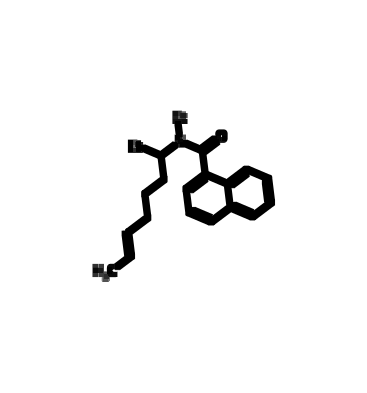 CC=CCCCC(CC)N(CC)C(=O)c1cccc2ccccc12